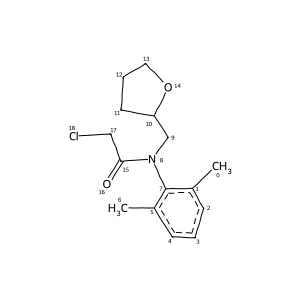 Cc1cccc(C)c1N(CC1CCCO1)C(=O)CCl